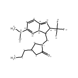 CCCC1CC(=O)N(CC2C(C(F)(F)F)N=C3C=CC([S+](C)[O-])=NN32)C1